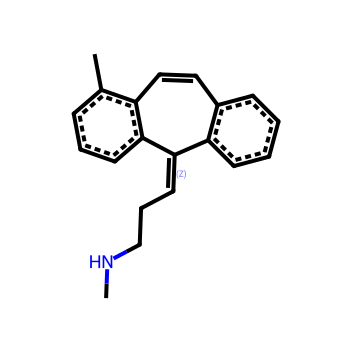 CNCC/C=C1/c2ccccc2C=Cc2c(C)cccc21